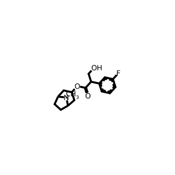 CN1C2CCC1CC(OC(=O)C(CO)c1cccc(F)c1)C2